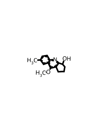 COc1c2c(nc3ccc(C)cc13)C(O)CCC2